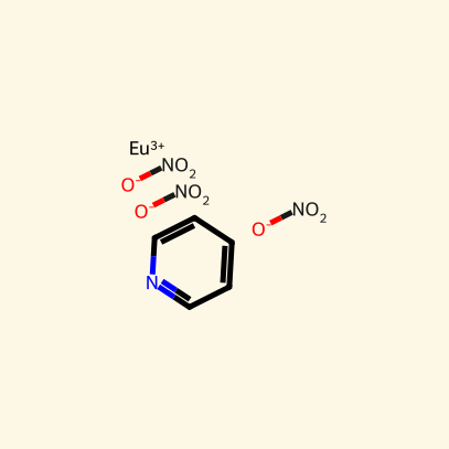 O=[N+]([O-])[O-].O=[N+]([O-])[O-].O=[N+]([O-])[O-].[Eu+3].c1ccncc1